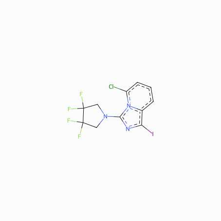 FC1(F)CN(c2nc(I)c3cccc(Cl)n23)CC1(F)F